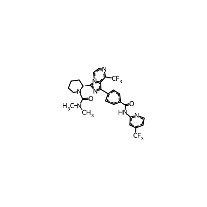 CN(C)C(=O)N1CCCC[C@H]1c1nc(-c2ccc(C(=O)Nc3cc(C(F)(F)F)ccn3)cc2)c2c(C(F)(F)F)nccn12